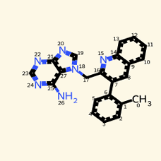 Cc1ccccc1-c1cc2ccccc2nc1Cn1cnc2ncnc(N)c21